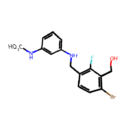 O=C(O)Nc1cccc(NCc2ccc(Br)c(CO)c2F)c1